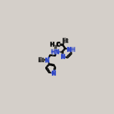 C=C(CC)C1NC=CN=C1NCCN(CC)c1ccncc1